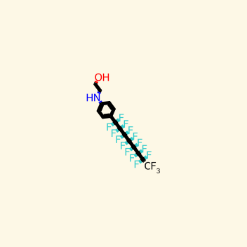 OCCNc1ccc(C(F)(F)C(F)(F)C(F)(F)C(F)(F)C(F)(F)C(F)(F)C(F)(F)C(F)(F)F)cc1